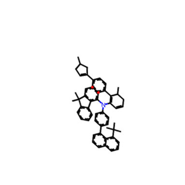 CC1CC=C(c2ccc(C3=C(N(c4ccc(-c5cccc6cccc(C(C)(C)C)c56)cc4)c4cccc5c4-c4ccccc4C5(C)C)C=CCC3C)cc2)C1